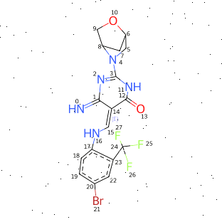 N=C1N=C(N2CC3CC2CO3)NC(=O)/C1=C/Nc1ccc(Br)cc1C(F)(F)F